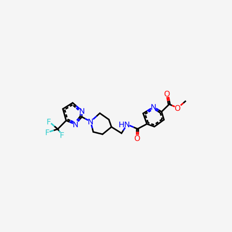 COC(=O)c1ccc(C(=O)NCC2CCN(c3nccc(C(F)(F)F)n3)CC2)cn1